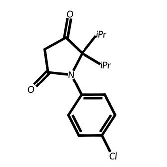 CC(C)C1(C(C)C)C(=O)CC(=O)N1c1ccc(Cl)cc1